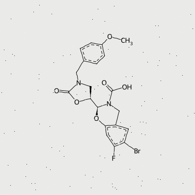 COc1ccc(CN2C[C@@H]([C@@H]3Oc4cc(F)c(Br)cc4CN3C(=O)O)OC2=O)cc1